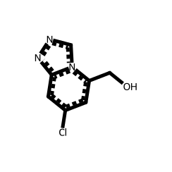 OCc1cc(Cl)cc2nncn12